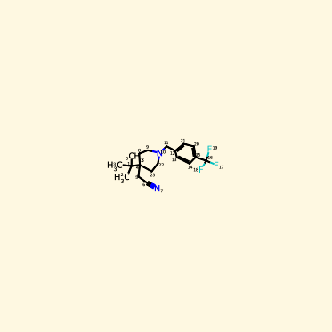 CC(C)(C)C1(CC#N)CCN(Cc2ccc(C(F)(F)F)cc2)CC1